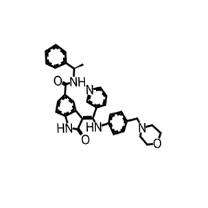 C[C@@H](NC(=O)c1ccc2c(c1)/C(=C(/Nc1ccc(CN3CCOCC3)cc1)c1cccnc1)C(=O)N2)c1ccccc1